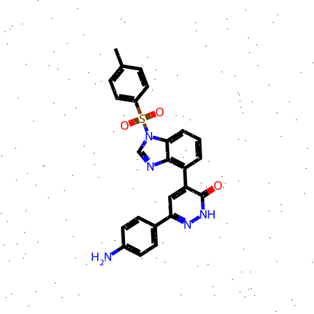 Cc1ccc(S(=O)(=O)n2cnc3c(-c4cc(-c5ccc(N)cc5)n[nH]c4=O)cccc32)cc1